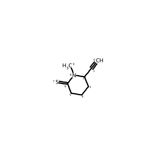 C#CC1CCCC(=S)N1C